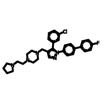 Fc1ccc(-c2ccc(-n3ncc(CN4CCN(CCN5CCCC5)CC4)c3-c3cccc(Cl)c3)cc2)cc1